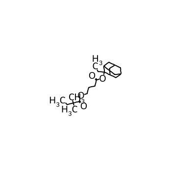 CCC(C)(C)C(=O)OCCCC(=O)OC1(CC)C2CC3CC(C2)CC1C3